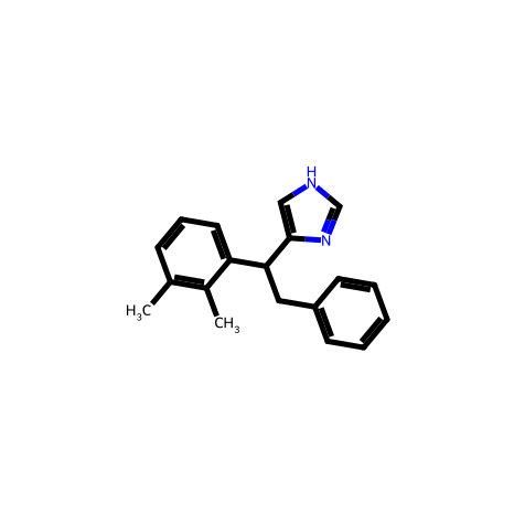 Cc1cccc(C(Cc2ccccc2)c2c[nH]cn2)c1C